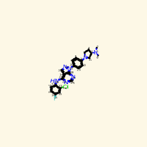 CN(C)[C@@H]1CCN(c2ccc(-n3ncc4c(Nc5ccc(F)cc5Cl)ncnc43)cc2)C1